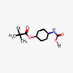 [3H]OC(=O)NC1CCC(OC(=O)C(C)(C)CC)CC1